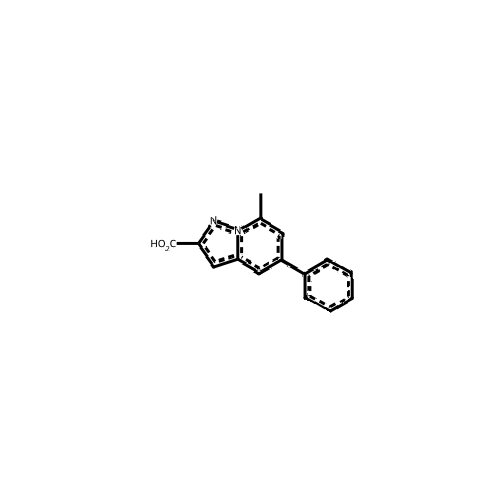 Cc1cc(-c2ccccc2)cc2cc(C(=O)O)nn12